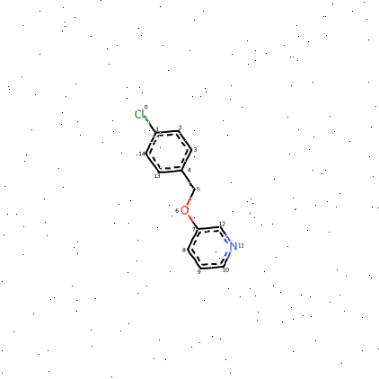 Clc1ccc(COc2cccnc2)cc1